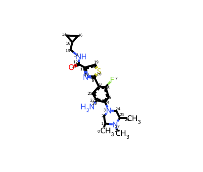 CC1CN(c2cc(F)c(-c3nc(C(=O)NCC4CC4)cs3)cc2N)CC(C)N1C